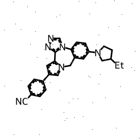 CCC1CCN(c2ccc3c(c2)Cn2cc(-c4ccc(C#N)cc4)cc2-c2nncn2-3)C1